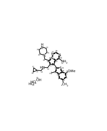 COc1cc(C)cc2c(I)c(-c3c(CNCC4CC4)c(CN4CCNCC4)n4ncnc(N)c34)sc12.Cl.Cl.Cl